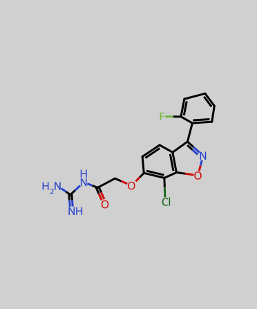 N=C(N)NC(=O)COc1ccc2c(-c3ccccc3F)noc2c1Cl